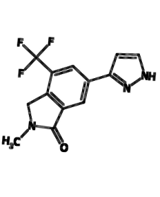 CN1Cc2c(cc(-c3cc[nH]n3)cc2C(F)(F)F)C1=O